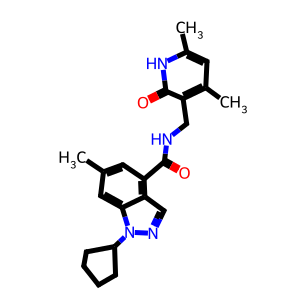 Cc1cc(C(=O)NCc2c(C)cc(C)[nH]c2=O)c2cnn(C3CCCC3)c2c1